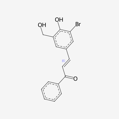 O=C(/C=C/c1cc(Br)c(O)c(CO)c1)c1ccccc1